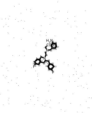 CCOC(=O)CN(CCN1Cc2ccc(F)cc2CC1Cc1ccc(F)cc1)Cc1cccc(N)c1